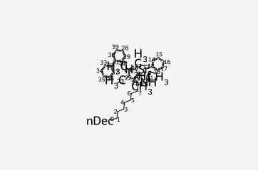 CCCCCCCCCCCCCCCCCC[NH][Hf]([CH3])([SiH2]c1ccccc1)[C]1=C(C)C(C)=C(C)C1C.c1ccc(-c2ccccc2)cc1